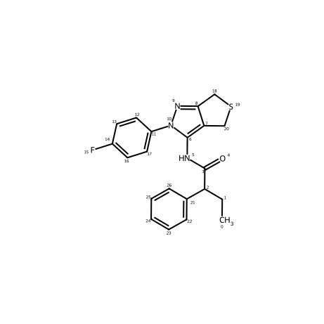 CCC(C(=O)Nc1c2c(nn1-c1ccc(F)cc1)CSC2)c1ccccc1